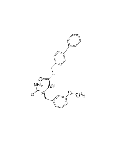 COc1cccc(C[C@H](NC(=O)[CH]Cc2ccc(-c3ccccc3)cc2)C(N)=O)c1